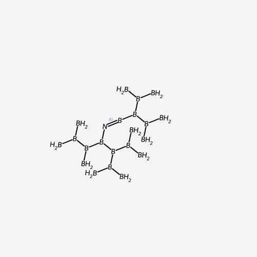 BB(B)B(B)B(/N=B/B(B(B)B)B(B)B)B(B(B)B)B(B)B